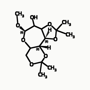 CO[C@@H]1OC2COC(C)(C)O[C@H]2[C@@H]2OC(C)(C)OC2C1O